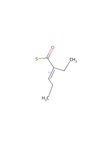 CC/C=C(\CC)C(=O)[S]